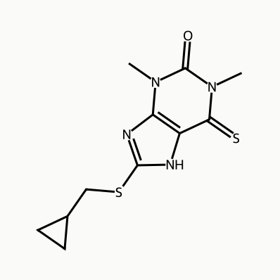 Cn1c(=S)c2[nH]c(SCC3CC3)nc2n(C)c1=O